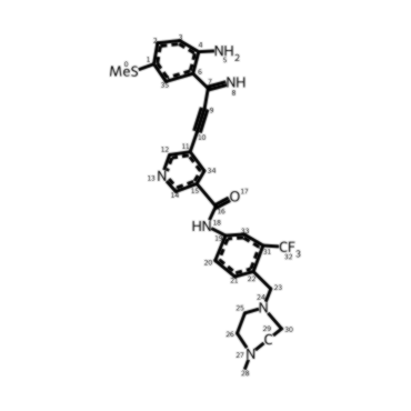 CSc1ccc(N)c(C(=N)C#Cc2cncc(C(=O)Nc3ccc(CN4CCN(C)CC4)c(C(F)(F)F)c3)c2)c1